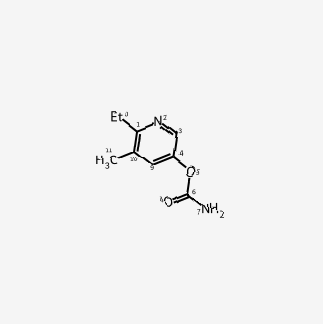 CCc1ncc(OC(N)=O)cc1C